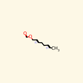 C/C=C/CC/C=C/COC=O